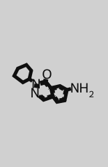 Nc1ccc2cnn(C3CCCCC3)c(=O)c2c1